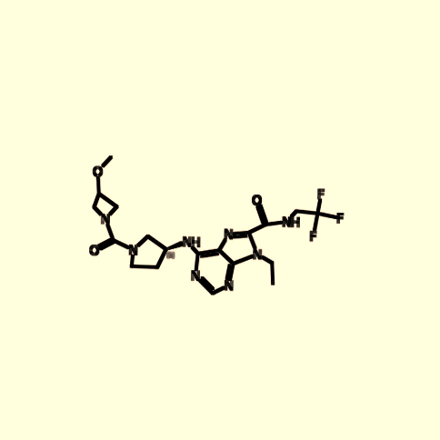 CCn1c(C(=O)NCC(F)(F)F)nc2c(N[C@H]3CCN(C(=O)N4CC(OC)C4)C3)ncnc21